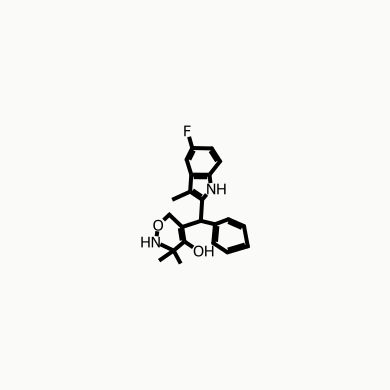 Cc1c(C(C2=C(O)C(C)(C)NOC2)c2ccccc2)[nH]c2ccc(F)cc12